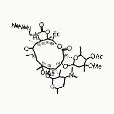 CC[C@H]1OC(=O)[C@H](C)[C@@H](OC2CC(C)(OC)C(OC(C)=O)C(C)O2)[C@H](C)[C@@H](OC2OC(C)CC(N(C)C)C2C)[C@@](C)(OC)C[C@@H](C)C(=O)[C@H](C)[C@H]2N(CN=[N+]=[N-])C(=O)O[C@]12C